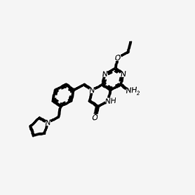 CCOc1nc(N)c2c(n1)N(Cc1cccc(CN3CCCC3)c1)CC(=O)N2